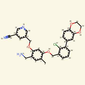 Cc1cc(CN)c(OCc2cncc(C#N)c2)cc1OCc1cccc(-c2ccc3c(c2)OCCO3)c1Cl